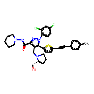 Cc1ccc(C#Cc2ccc(-c3c(CN4CCC[C@@H]4CO)c(C(=O)NN4CCCCC4)nn3-c3ccc(Cl)cc3Cl)s2)cc1